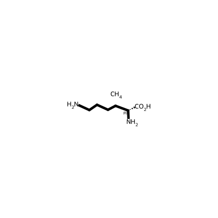 C.NCCCC[C@@H](N)C(=O)O